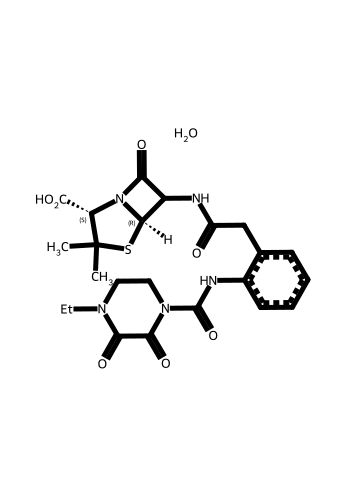 CCN1CCN(C(=O)Nc2ccccc2CC(=O)NC2C(=O)N3[C@@H]2SC(C)(C)[C@@H]3C(=O)O)C(=O)C1=O.O